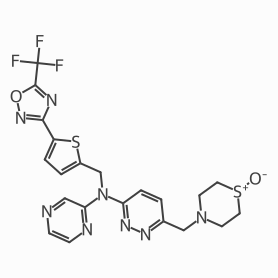 [O-][S+]1CCN(Cc2ccc(N(Cc3ccc(-c4noc(C(F)(F)F)n4)s3)c3cnccn3)nn2)CC1